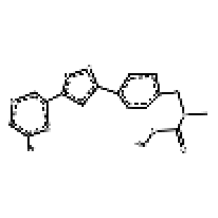 CN(Cc1ccc(-c2cc(-c3[c]ncc(Br)n3)on2)cc1)C(=O)OC(C)(C)C